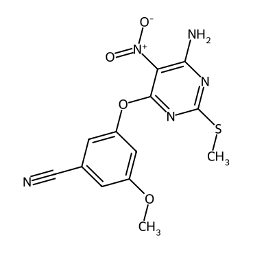 COc1cc(C#N)cc(Oc2nc(SC)nc(N)c2[N+](=O)[O-])c1